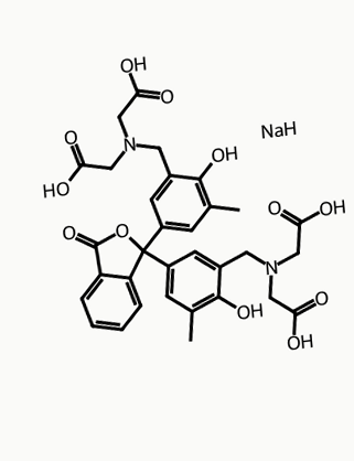 Cc1cc(C2(c3cc(C)c(O)c(CN(CC(=O)O)CC(=O)O)c3)OC(=O)c3ccccc32)cc(CN(CC(=O)O)CC(=O)O)c1O.[NaH]